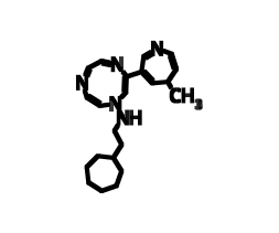 CC1C=CN=CC(c2cn(NCCC3CCCCCC3)ccnccn2)=C1